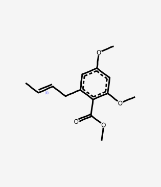 C/C=C/Cc1cc(OC)cc(OC)c1C(=O)OC